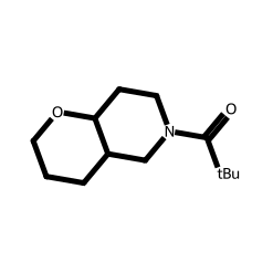 CC(C)(C)C(=O)N1CCC2OCCCC2C1